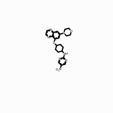 O=[N+]([O-])c1cnc(NC2CCC(Oc3cc(N4CCOCC4)cc4nccnc34)CC2)nc1